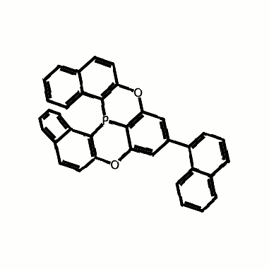 c1ccc2c(-c3cc4c5c(c3)Oc3ccc6ccccc6c3P5c3c(ccc5ccccc35)O4)cccc2c1